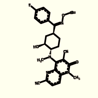 CN(c1c(C#N)c(=O)n(C)c2ccc(C#N)nc12)[C@H]1CC[C@H](/C(=N/OC(C)(C)C)c2ccc(F)cc2)C[C@@H]1O